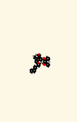 c1ccc2c(c1)Oc1ccccc1C21c2ccccc2-c2c(N(c3ccc(-c4ccc5c(ccc6ccccc65)c4)cc3)c3cccc4c3-c3ccccc3C43c4ccccc4Sc4ccccc43)cccc21